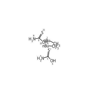 CCCCC.CCCCC.NC(O)=S.NC(O)=S